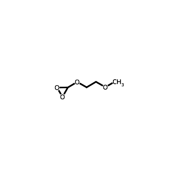 COCCOC1OO1